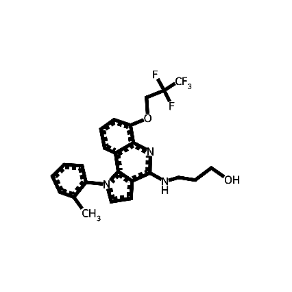 Cc1ccccc1-n1ccc2c(NCCCO)nc3c(OCC(F)(F)C(F)(F)F)cccc3c21